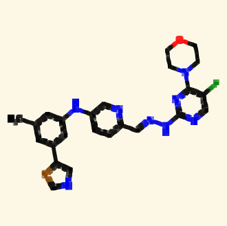 Cc1cc(Nc2ccc(/C=N/Nc3ncc(F)c(N4CCOCC4)n3)nc2)cc(-c2cncs2)c1